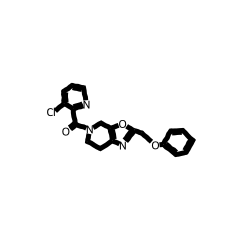 O=C(c1ncccc1Cl)N1CCc2nc(COc3ccccc3)oc2C1